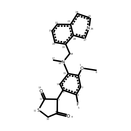 COc1cc(F)c(C2C(=O)CSC2=O)cc1N(C)Cc1cccc2ccncc12